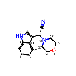 N#C[C@@H](c1c[nH]c2ccccc12)N1CCOCC1